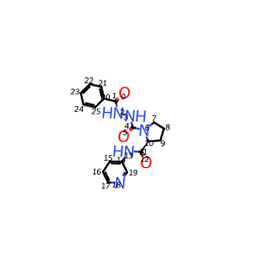 O=C(NNC(=O)N1CCC[C@H]1C(=O)Nc1cccnc1)c1ccccc1